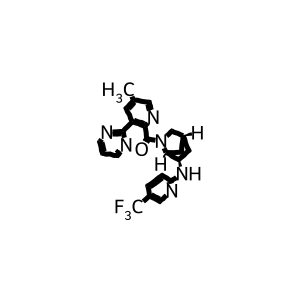 Cc1cnc(C(=O)N2C[C@@H]3C[C@@H](Nc4ccc(C(F)(F)F)cn4)[C@@H]2C3)c(-c2ncccn2)c1